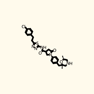 C[C@H]1CNC[C@](C)(Cc2ccc(N3CC(C(=O)Nc4nnc(CCc5ccc(Cl)cc5)s4)CC3=O)cc2)O1